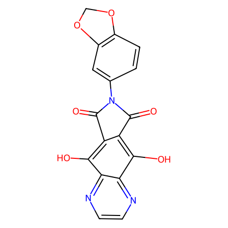 O=C1c2c(c(O)c3nccnc3c2O)C(=O)N1c1ccc2c(c1)OCO2